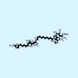 CCOC(O)C(C(C)OC)N(C)C(=O)C1(N(O)C(=O)/C=C/C=C/C=C/C=C\CNC(=O)C(C)(C)C(O)\C(C)=C/C=C\C=C\Cc2cnc(C)o2)COCO1